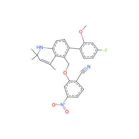 COc1cc(F)ccc1-c1ccc2c(c1COc1cc([N+](=O)[O-])ccc1C#N)C(C)=CC(C)(C)N2